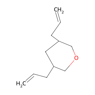 C=CCC1COCC(CC=C)C1